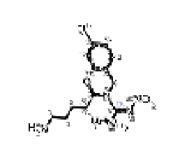 NCCC[C@@H](N)C(=O)N(Cc1ccc(Cl)cc1)/C(N)=N\[N+](=O)[O-]